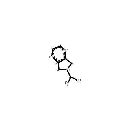 CC(C)C(O)N1Cc2nccnc2C1